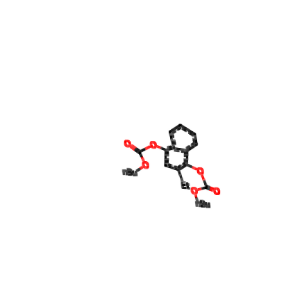 CCCCOC(=O)Oc1cc(CC)c(OC(=O)OCCCC)c2ccccc12